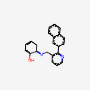 OC1=CC=CCC1=NCc1cccnc1-c1ccc2ccccc2c1